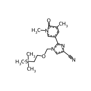 Cc1cc(-c2nc(C#N)cn2COCC[Si](C)(C)C)cn(C)c1=O